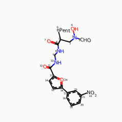 CCCCCC(CN(O)C=O)C(=O)NCNC(=O)c1ccc(-c2cccc([N+](=O)[O-])c2)o1